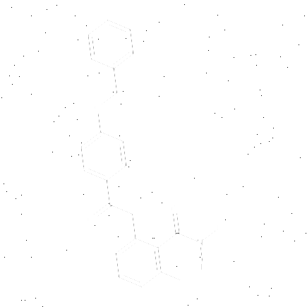 CCN(CC)C(=O)c1c(Cl)cccc1CC(=O)c1ccc(OCc2ccccc2)cc1